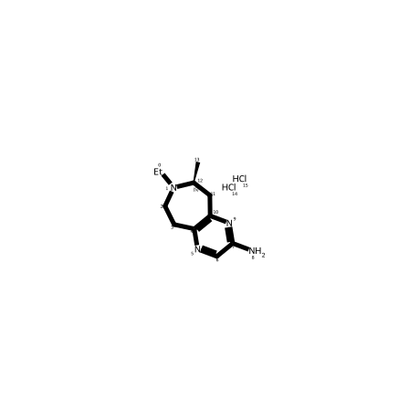 CCN1CCc2ncc(N)nc2C[C@@H]1C.Cl.Cl